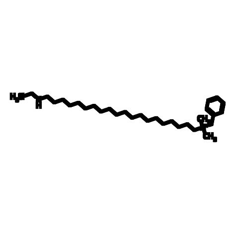 C[N+](C)(CCCCCCCCCCCCCCCCCCCCNC[SiH3])Cc1ccccc1